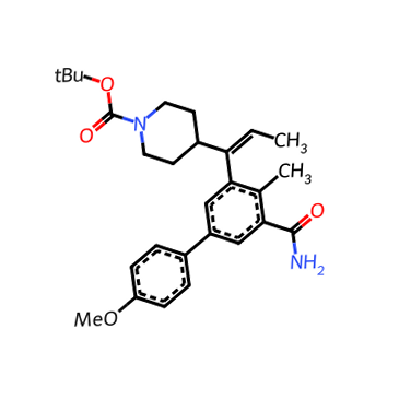 C/C=C(\c1cc(-c2ccc(OC)cc2)cc(C(N)=O)c1C)C1CCN(C(=O)OC(C)(C)C)CC1